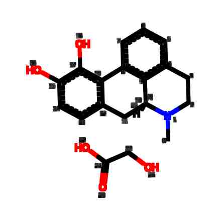 CN1CCc2cccc3c2[C@H]1Cc1ccc(O)c(O)c1-3.O=C(O)CO